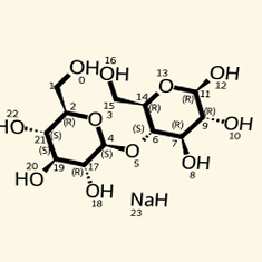 OC[C@H]1O[C@@H](O[C@H]2[C@H](O)[C@@H](O)[C@H](O)O[C@@H]2CO)[C@H](O)[C@@H](O)[C@@H]1O.[NaH]